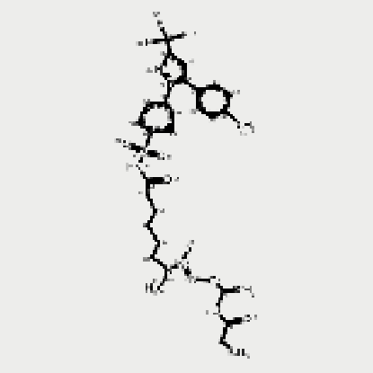 CCC(=O)OC(C)ON=[N+]([O-])N(C)CCCCCC(=O)NS(=O)(=O)c1ccc(-n2nc(C(F)(F)F)cc2-c2ccc(C)cc2)cc1